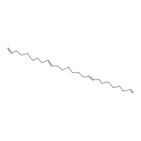 C=CCCCCCC/C=C/CCCCCC/C=C/CCCCCCC=C